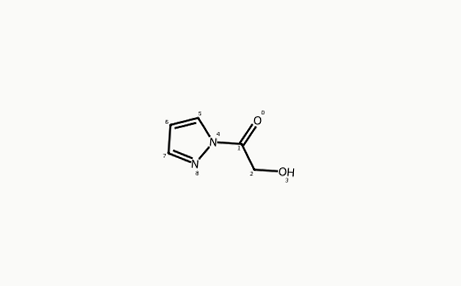 O=C(CO)n1cccn1